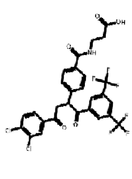 O=C(O)CCNC(=O)c1ccc(C(CC(=O)c2ccc(Cl)c(Cl)c2)C(=O)c2cc(C(F)(F)F)cc(C(F)(F)F)c2)cc1